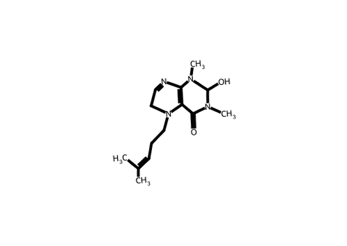 CC(C)=CCCN1CC=NC2=C1C(=O)N(C)C(O)N2C